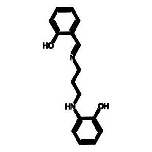 Oc1ccccc1/C=N/CCCNc1ccccc1O